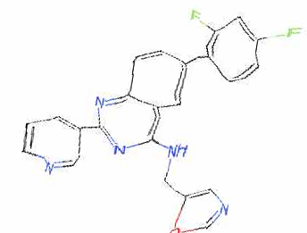 Fc1ccc(-c2ccc3nc(-c4cccnc4)nc(NCc4cnco4)c3c2)c(F)c1